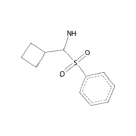 [NH]C(C1CCC1)S(=O)(=O)c1ccccc1